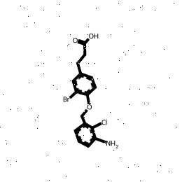 Nc1cccc(COc2ccc(CCC(=O)O)cc2Br)c1Cl